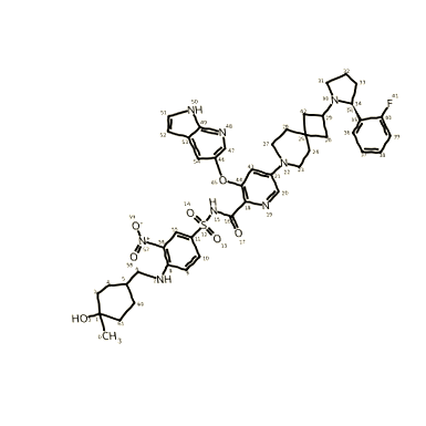 CC1(O)CCC(CNc2ccc(S(=O)(=O)NC(=O)c3ncc(N4CCC5(CC4)CC(N4CCC[C@H]4c4ccccc4F)C5)cc3Oc3cnc4[nH]ccc4c3)cc2[N+](=O)[O-])CC1